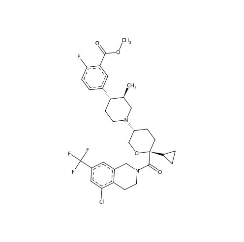 COC(=O)c1cc([C@H]2CCN([C@@H]3CC[C@@](C(=O)N4CCc5c(Cl)cc(C(F)(F)F)cc5C4)(C4CC4)OC3)C[C@@H]2C)ccc1F